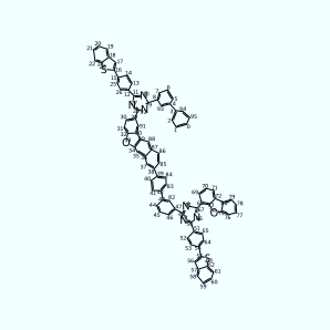 c1ccc(-c2cccc(-c3nc(-c4ccc(-c5cc6ccccc6s5)cc4)nc(-c4ccc5oc6cc7cc(-c8ccc(-c9cccc(-c%10nc(-c%11ccc(-c%12cc%13ccccc%13s%12)cc%11)nc(-c%11cccc%12c%11oc%11ccccc%11%12)n%10)c9)cc8)ccc7cc6c5c4)n3)c2)cc1